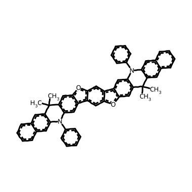 CC1(C)c2cc3ccccc3cc2N(c2ccccc2)c2cc3c(cc21)oc1cc2c(cc13)oc1cc3c(cc12)N(c1ccccc1)c1cc2ccccc2cc1C3(C)C